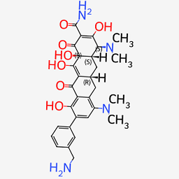 CN(C)c1cc(-c2cccc(CN)c2)c(O)c2c1C[C@H]1C[C@H]3[C@H](N(C)C)C(O)=C(C(N)=O)C(=O)[C@@]3(O)C(O)=C1C2=O